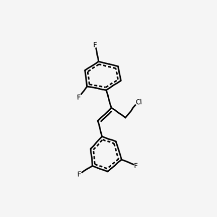 Fc1cc(F)cc(C=C(CCl)c2ccc(F)cc2F)c1